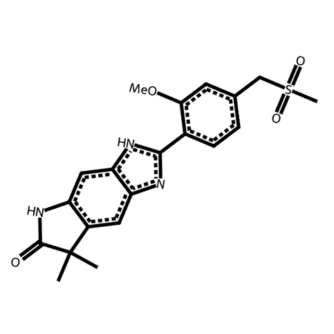 COc1cc(CS(C)(=O)=O)ccc1-c1nc2cc3c(cc2[nH]1)NC(=O)C3(C)C